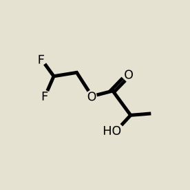 CC(O)C(=O)OCC(F)F